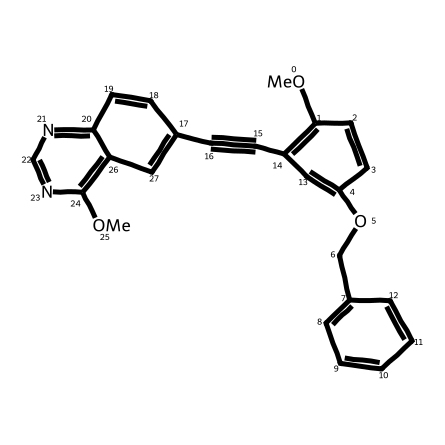 COc1ccc(OCc2ccccc2)cc1C#Cc1ccc2ncnc(OC)c2c1